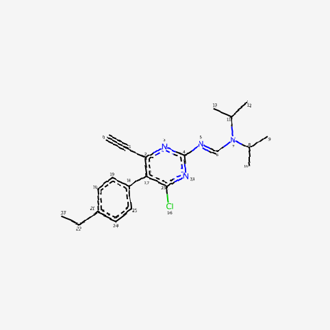 C#Cc1nc(N=CN(C(C)C)C(C)C)nc(Cl)c1-c1ccc(CC)cc1